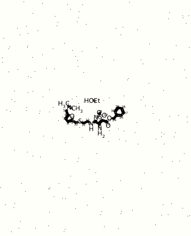 CCO.CN(C)Cc1ccc(CSCCNC2=NS(=O)(=O)C(C(=O)OCc3ccccc3)=C2N)o1